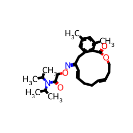 Cc1cc(C)c2c(c1)CC(=N/OCC(=O)N(C(C)C)C(C)C)/C=C/CC/C=C/CCOC2=O